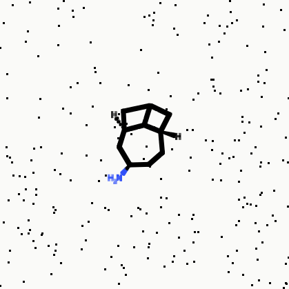 N[C@@H]1CC[C@H]2CC3C[C@H](C1)C32